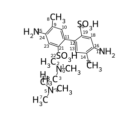 CN(C)C.CN(C)C.Cc1cc(-c2cc(C)c(N)cc2S(=O)(=O)O)c(S(=O)(=O)O)cc1N